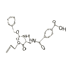 C=CCOC(=O)[C@H](CNC(=O)c1ccc(C(=O)O)cc1)NC(=O)OCc1ccccc1